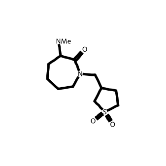 CNC1CCCCN(CC2CCS(=O)(=O)C2)C1=O